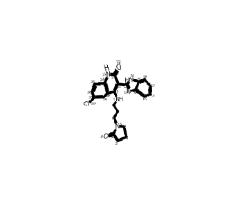 O=C1CCCN1CCCNc1c(-c2nc3ccccc3[nH]2)c(=O)[nH]c2ccc(Cl)cc12